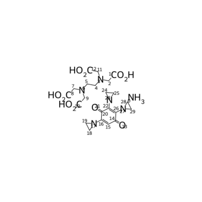 N.O=C(O)CN(CCN(CC(=O)O)CC(=O)O)CC(=O)O.O=C1C=C(N2CC2)C(=O)C(N2CC2)=C1N1CC1